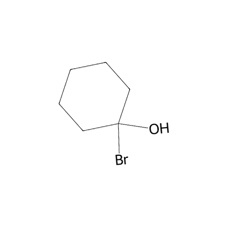 OC1(Br)CCCCC1